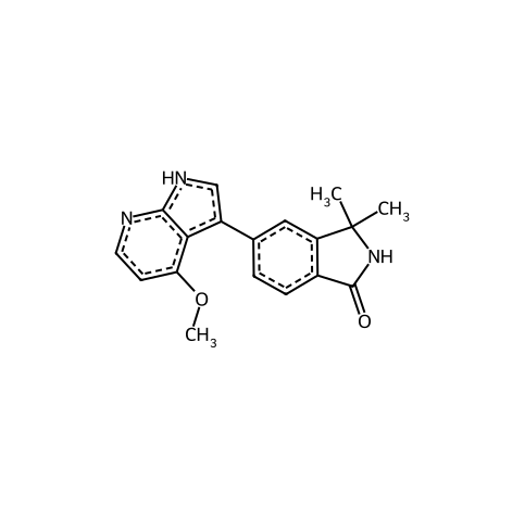 COc1ccnc2[nH]cc(-c3ccc4c(c3)C(C)(C)NC4=O)c12